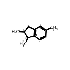 Cc1ccc2c(c1)CC(C)C2C